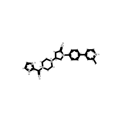 Cc1cc(-c2ccc(N3CC(N4CCN(C(=O)c5nccs5)CC4)CC3=O)cc2)ccn1